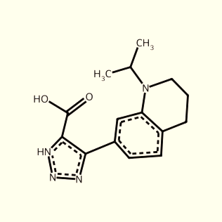 CC(C)N1CCCc2ccc(-c3nn[nH]c3C(=O)O)cc21